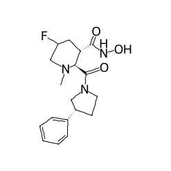 CN1CC(F)C[C@H](C(=O)NO)[C@H]1C(=O)N1CC[C@H](c2ccccc2)C1